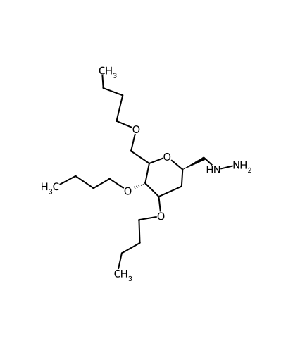 CCCCOCC1O[C@@H](CNN)CC(OCCCC)[C@@H]1OCCCC